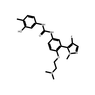 Cc1ccc(NC(=O)Nc2ccc(OCCN(C)C)c(-c3c(F)cnn3C)c2)cc1O